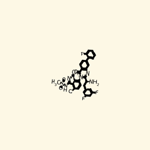 Cn1nc(NS(C)(=O)=O)c2c(Cl)ccc(-n3c([C@@H](N)Cc4cc(F)cc(F)c4)nc4cc(-c5ccccc5F)ccc4c3=O)c21